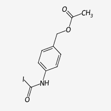 CC(=O)OCc1ccc(NC(=O)I)cc1